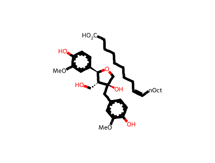 CCCCCCCC/C=C\CCCCCCCC(=O)O.COc1cc(C[C@@]2(O)CO[C@H](c3ccc(O)c(OC)c3)[C@H]2CO)ccc1O